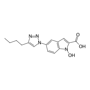 CCCCc1cn(-c2ccc3c(c2)cc(C(=O)O)n3O)nn1